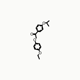 CCOc1ccc(OCC(=O)c2ccc(OC(C)C)cc2)cc1